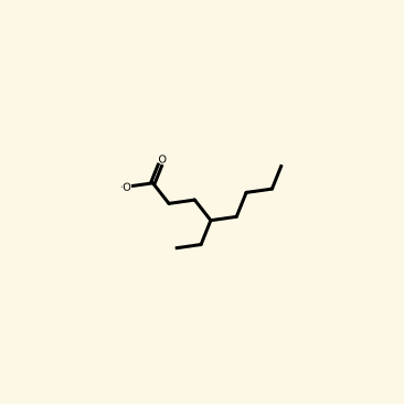 CCCCC(CC)CCC([O])=O